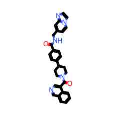 O=C(NCc1ccn2ccnc2c1)c1ccc(C2CCN(C(=O)c3cncc4ccccc34)CC2)cc1